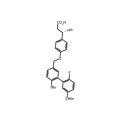 CCC[C@@H](CC(=O)O)c1ccc(OCc2ccc(C(C)(C)C)c(-c3cc(OC)ccc3F)c2)cc1